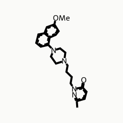 COc1ccc2c(N3CCN(CCCCn4nc(C)ccc4=O)CC3)cccc2c1